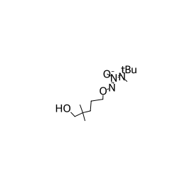 CN(/[N+]([O-])=N/OCCCC(C)(C)CO)C(C)(C)C